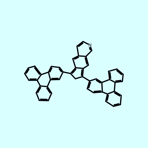 c1ccc2c(c1)c1ccccc1c1cc(C3=c4cc5ccncc5cc4=C(c4ccc5c6ccccc6c6ccccc6c5c4)C3)ccc21